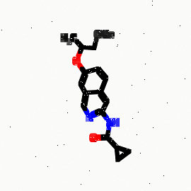 COCC(C)Oc1ccc2cc(NC(=O)C3CC3)ncc2c1